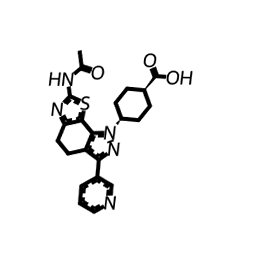 CC(=O)Nc1nc2c(s1)-c1c(c(-c3cccnc3)nn1[C@H]1CC[C@H](C(=O)O)CC1)CC2